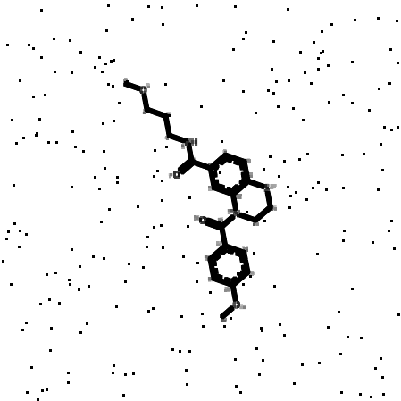 COCCCNC(=O)c1ccc2c(c1)N(C(=O)c1ccc(OC)cc1)CCS2